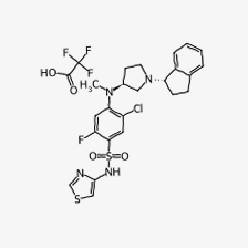 CN(c1cc(F)c(S(=O)(=O)Nc2cscn2)cc1Cl)[C@H]1CCN([C@H]2CCc3ccccc32)C1.O=C(O)C(F)(F)F